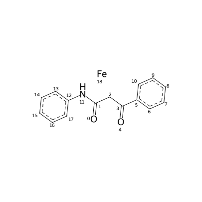 O=C(CC(=O)c1ccccc1)Nc1ccccc1.[Fe]